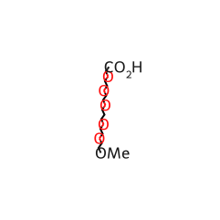 COCCOCCOCCCOCCOCCOCC(=O)O